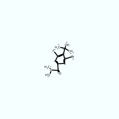 CN(C)C(=O)c1cc(F)c(C(C)(C)O)c(Br)c1